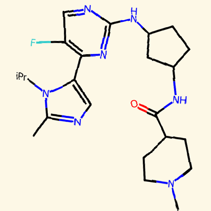 Cc1ncc(-c2nc(NC3CCC(NC(=O)C4CCN(C)CC4)C3)ncc2F)n1C(C)C